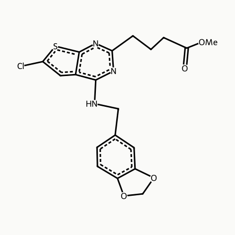 COC(=O)CCCc1nc(NCc2ccc3c(c2)OCO3)c2cc(Cl)sc2n1